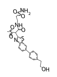 CS(=O)(=O)C(C(=O)NCCS(N)(=O)=O)c1nc2ccc(-c3ccc(CCO)cc3)cc2s1